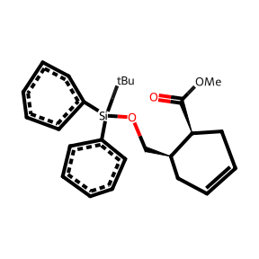 COC(=O)[C@H]1CC=CC[C@H]1CO[Si](c1ccccc1)(c1ccccc1)C(C)(C)C